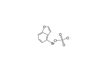 Brc1cccc2occc12.O=S(=O)(Cl)Cl